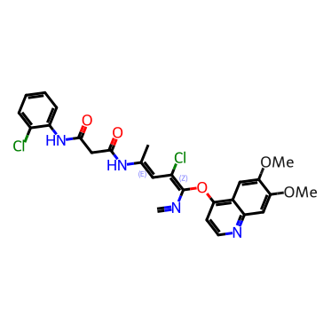 C=N/C(Oc1ccnc2cc(OC)c(OC)cc12)=C(Cl)\C=C(/C)NC(=O)CC(=O)Nc1ccccc1Cl